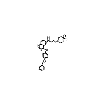 O=S1(=O)CCN(CCCNc2ccc3ncnc(Nc4ccc(OCc5ccccc5)cc4)c3c2)CC1